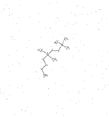 C[Si](C)(C)CC[Si](C)(C)CCCO